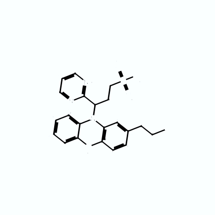 CCCc1ccc2c(c1)N(C(CCS(=O)(=O)O)c1ncccn1)c1ccccc1S2